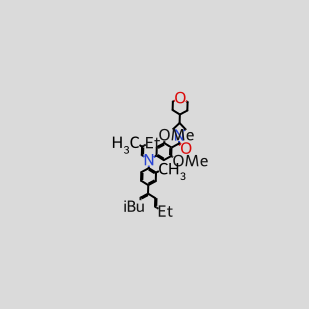 CC/C=C/C(=C\C(C)CC)c1ccc(N(/C=C(/C)CC)c2cc(OC)c(C(=O)N3CC(C4CCOCC4)C3)c(OC)c2)c(C)c1